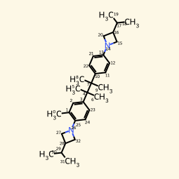 Cc1cc(C(C)(C)C(C)(C)c2ccc(N3CC(C(C)C)C3)cc2)ccc1N1CC(C(C)C)C1